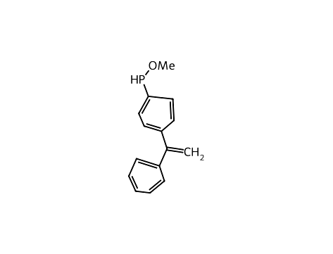 C=C(c1ccccc1)c1ccc(POC)cc1